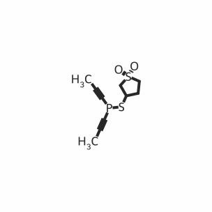 CC#CP(C#CC)SC1CCS(=O)(=O)C1